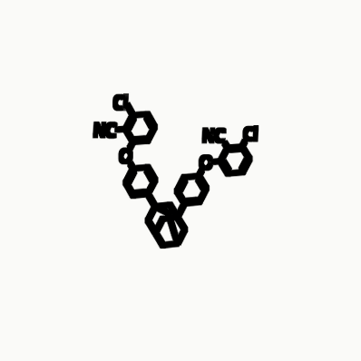 N#Cc1c(Cl)cccc1Oc1ccc(C23CC4CC(C2)CC(c2ccc(Oc5cccc(Cl)c5C#N)cc2)(C4)C3)cc1